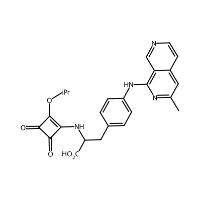 Cc1cc2ccncc2c(Nc2ccc(CC(Nc3c(OC(C)C)c(=O)c3=O)C(=O)O)cc2)n1